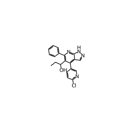 CCC(O)c1c(-c2ccccc2)nc2[nH]ncc2c1-c1ccc(Cl)nc1